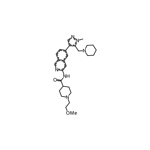 COCCN1CCC(C(=O)Nc2cc3cc(-c4cnn(C)c4CN4CCCCC4)ccc3cn2)CC1